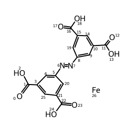 O=C(O)c1cc(/N=N/c2cc(C(=O)O)cc(C(=O)O)c2)cc(C(=O)O)c1.[Fe]